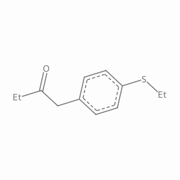 CCSc1ccc(CC(=O)CC)cc1